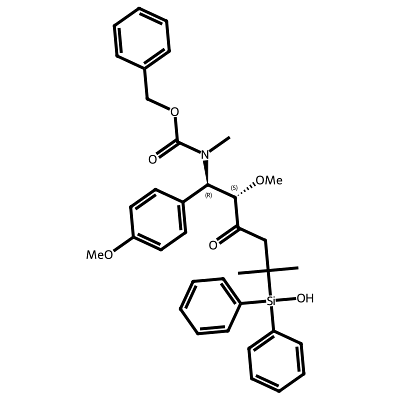 COc1ccc([C@H]([C@H](OC)C(=O)CC(C)(C)[Si](O)(c2ccccc2)c2ccccc2)N(C)C(=O)OCc2ccccc2)cc1